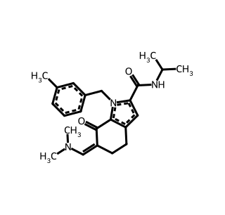 Cc1cccc(Cn2c(C(=O)NC(C)C)cc3c2C(=O)C(=CN(C)C)CC3)c1